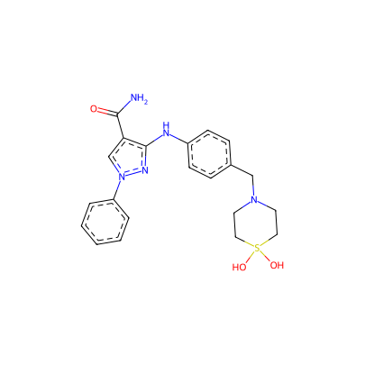 NC(=O)c1cn(-c2ccccc2)nc1Nc1ccc(CN2CCS(O)(O)CC2)cc1